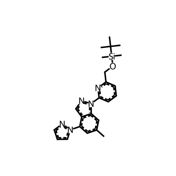 Cc1cc(-n2cccn2)c2cnn(-c3cccc(CO[Si](C)(C)C(C)(C)C)n3)c2c1